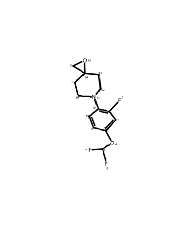 Fc1cc(OC(F)F)ccc1N1CCC2(CC1)CO2